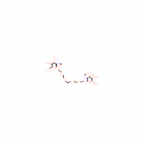 CC(=O)NC1=C(OCCOCCOCC(C)COCCOCCO[C@@H]2O[C@H](CO)[C@H](O)C(O)C2NC(C)=O)OC(CO)[C@H](O)C1O